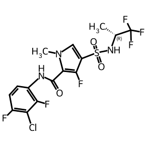 C[C@@H](NS(=O)(=O)c1cn(C)c(C(=O)Nc2ccc(F)c(Cl)c2F)c1F)C(F)(F)F